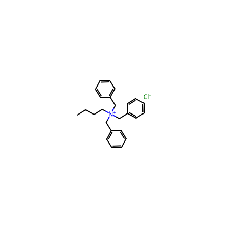 CCCC[N+](Cc1ccccc1)(Cc1ccccc1)Cc1ccccc1.[Cl-]